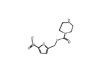 O=C(OCc1ccc([N+](=O)[O-])o1)N1CCNCC1